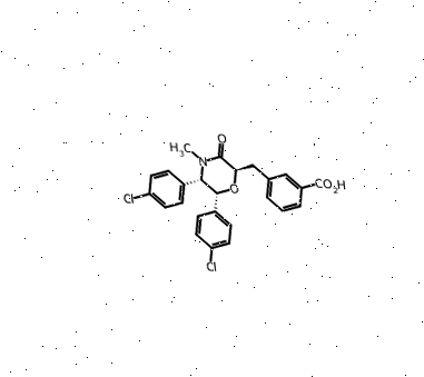 CN1C(=O)[C@@H](Cc2cccc(C(=O)O)c2)O[C@H](c2ccc(Cl)cc2)[C@@H]1c1ccc(Cl)cc1